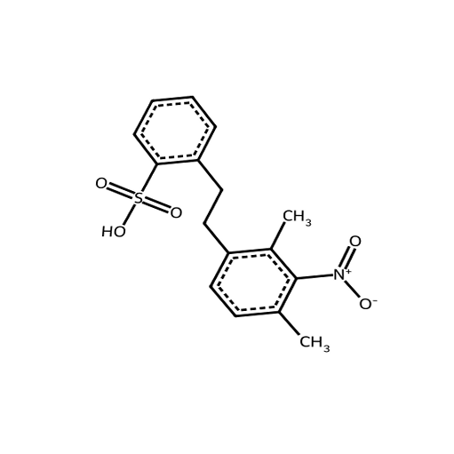 Cc1ccc(CCc2ccccc2S(=O)(=O)O)c(C)c1[N+](=O)[O-]